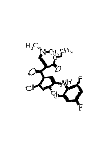 CCOC(=O)C(=CN(C)C)C(=O)c1cc(Nc2c(F)cc(F)cc2Cl)c(Cl)cc1Cl